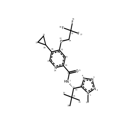 Cn1nnnc1[C@@H](NC(=O)c1cc(OCC(F)(F)F)c(C2CC2)cn1)C(C)(C)C